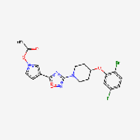 CCCC(=O)On1ccc(-c2nc(N3CCC(Oc4cc(F)ccc4Br)CC3)no2)c1